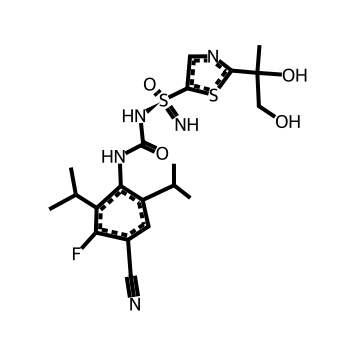 CC(C)c1cc(C#N)c(F)c(C(C)C)c1NC(=O)N[S@@](=N)(=O)c1cnc(C(C)(O)CO)s1